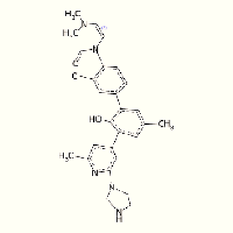 Cc1cc(-c2cc(C)nc(N3CCNC3)c2)c(O)c(-c2ccc(N(C=O)/C=C\N(C)C)c(Cl)c2)c1